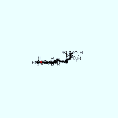 O=C(O)CC[C@H](NC(=O)N[C@@H](CCCCn1cc(CCCCCCNC(=O)c2ccc(C(=O)NCCOCCOCCOCCNC(=O)CO)cc2)nn1)C(=O)O)C(=O)O